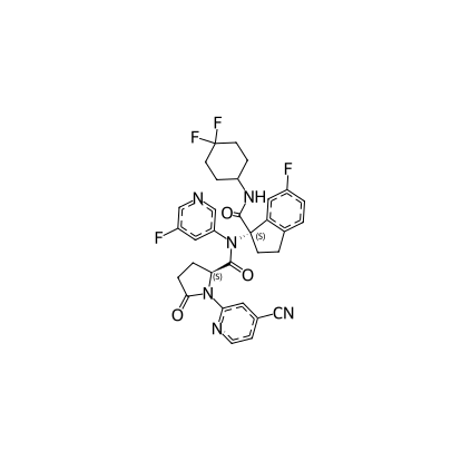 N#Cc1ccnc(N2C(=O)CC[C@H]2C(=O)N(c2cncc(F)c2)[C@@]2(C(=O)NC3CCC(F)(F)CC3)CCc3ccc(F)cc32)c1